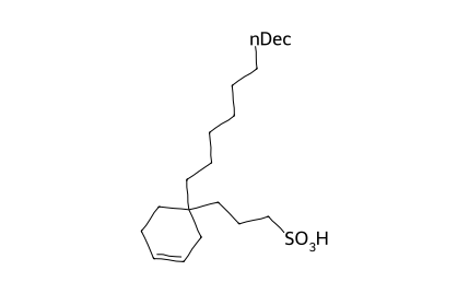 CCCCCCCCCCCCCCCCC1(CCCS(=O)(=O)O)CC=CCC1